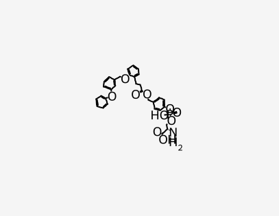 N[C@@H](COP(=O)(O)Oc1ccc(COC(=O)CCc2ccccc2OCc2cccc(Oc3ccccc3)c2)cc1)C(=O)O